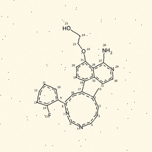 Cc1cccncnc(-c2ccccc2F)cc1-c1ccc(OCCO)c2c(N)nccc12